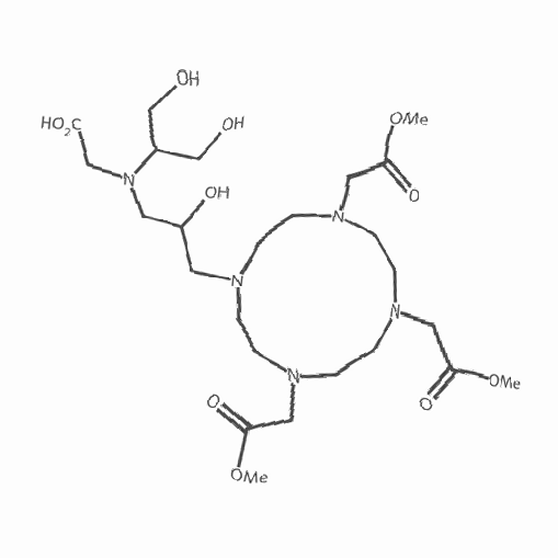 COC(=O)CN1CCN(CC(=O)OC)CCN(CC(O)CN(CC(=O)O)C(CO)CO)CCN(CC(=O)OC)CC1